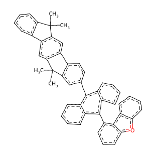 CC1(C)c2ccccc2-c2cc3c(cc21)-c1ccc(-c2c4ccccc4c(-c4cccc5oc6ccccc6c45)c4ccccc24)cc1C3(C)C